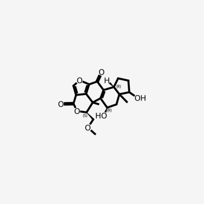 COC[C@H]1OC(=O)c2coc3c2C1(C)C1=C(C3=O)[C@@H]2CCC(O)C2(C)C[C@H]1O